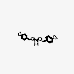 COc1ccc(CONOCc2ccc(OC)cc2)cc1